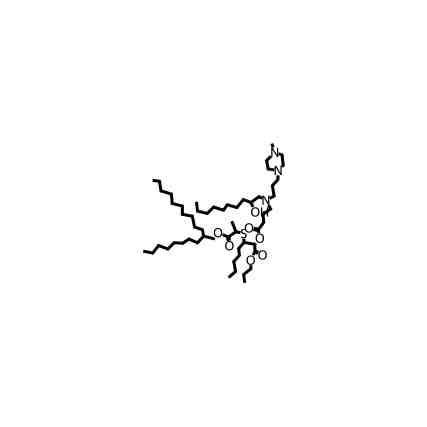 CCCCCCCCCCC(CCCCCCCC)COC(=O)C(C)SC(CCCCC)C(OC(=O)CCCN(CCCN1CCN(C)CC1)CC(O)CCCCCCCC)C(=O)OCCC